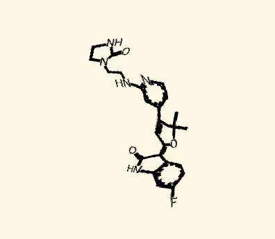 CC1(C)O/C(=C2/C(=O)Nc3cc(F)ccc32)C=C1c1ccnc(NCCN2CCNC2=O)c1